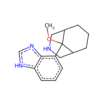 COC1(c2cccc3[nH]cnc23)C2CCCC1CNC2